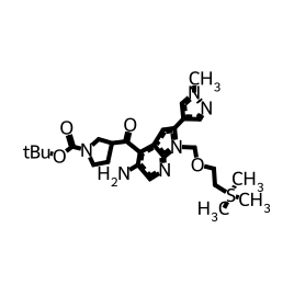 Cn1cc(-c2cc3c(C(=O)C4CCN(C(=O)OC(C)(C)C)C4)c(N)cnc3n2COCCS(C)(C)C)cn1